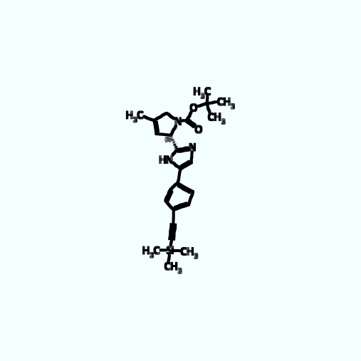 CC1=C[C@@H](c2ncc(-c3ccc(C#C[Si](C)(C)C)cc3)[nH]2)N(C(=O)OC(C)(C)C)C1